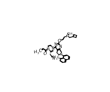 C=CC(=O)N1CCN(c2nc(OCCN(C)CC3CCC3)nc3c2CCN(c2cccc4cccc(C)c24)C3)C[C@@H]1CC#N